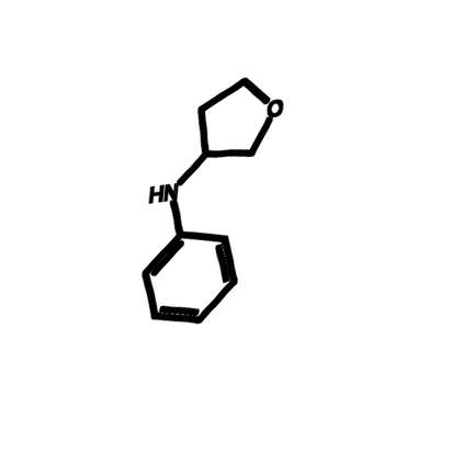 c1ccc(NC2CCOC2)cc1